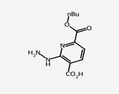 CCCCOC(=O)c1ccc(C(=O)O)c(NN)n1